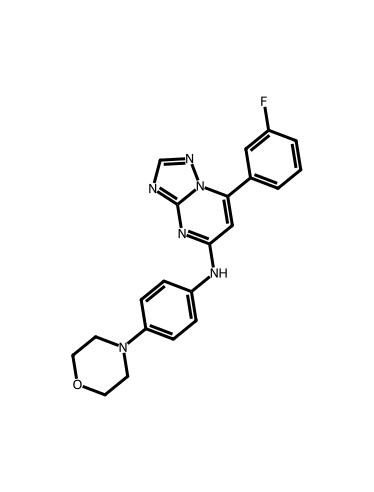 Fc1cccc(-c2cc(Nc3ccc(N4CCOCC4)cc3)nc3ncnn23)c1